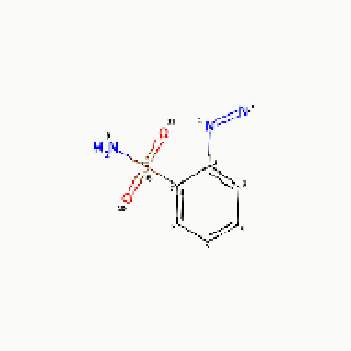 [N]=Nc1ccccc1S(N)(=O)=O